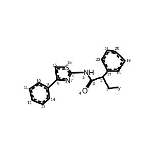 [CH2]CC(C(=O)Nc1nc(-c2ccccc2)cs1)c1ccccc1